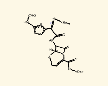 CCCCCCCCCCOC(=O)C1=CCS[C@@H]2C(NC(=O)/C(=N\OC)c3csc(NC=O)n3)C(=O)N12